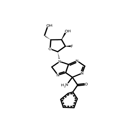 NC1(C(=O)c2ccccc2)N=CN=C2C1=NCN2[C@@H]1O[C@H](CO)[C@@H](O)[C@H]1F